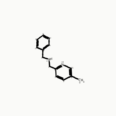 Cc1ccc(CNCc2ccccc2)nc1